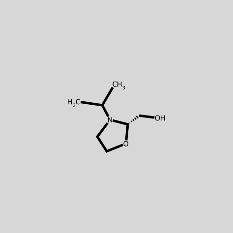 CC(C)N1CCO[C@H]1CO